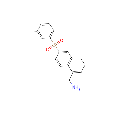 Cc1cccc(S(=O)(=O)c2ccc3c(c2)CCC=C3CN)c1